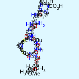 CC[C@H](C)[C@@H]1NC(=O)[C@H](CC(C)C)NC(=O)C2(CCN(C(=O)COCCC(C)(C)OCCC(C)(C)OC)CC2)NC(=O)CCSCc2cccc(n2)CSC[C@@H](C(=O)NC2CCN(CC(=O)N[C@@H](CCCCNC(=O)CN3CCN(CC(=O)O)CCN(CC(=O)O)CCN(CC(=O)O)CC3)C(N)=O)CC2)NC1=O